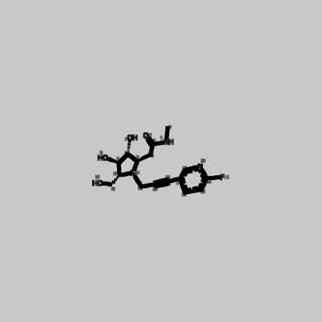 CNC(=O)C[C@@H]1[C@@H](O)[C@H](O)[C@@H](CO)N1CC#Cc1ccc(F)nc1